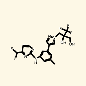 Cc1cc(Nc2nccc(C(F)F)n2)cc(-c2cnn(CC(O)(CO)C(F)(F)F)c2)c1